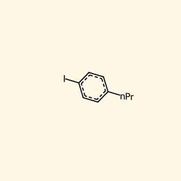 [CH2]CCc1ccc(I)cc1